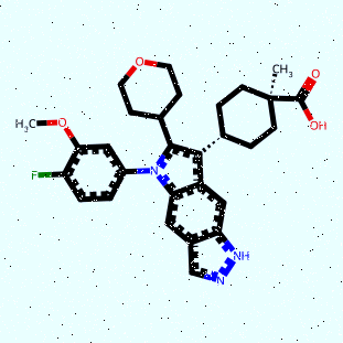 COc1cc(-n2c(C3CCOCC3)c([C@H]3CC[C@](C)(C(=O)O)CC3)c3cc4[nH]ncc4cc32)ccc1F